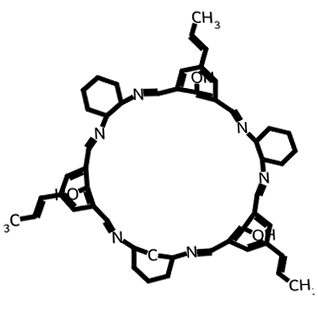 C/C=C/c1cc2c(O)c(c1)/C=N/C1CCCCC1/N=C/c1cc(/C=C/C)cc(c1O)/C=N/C1CCCCC1/N=C/c1cc(/C=C/C)cc(c1O)/C=N/C1CCCC(C1)/N=C/2